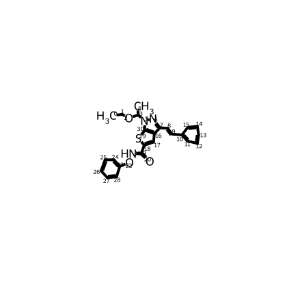 CCOC(C)n1nc(C=Cc2ccccc2)c2cc(C(=O)NOc3ccccc3)sc21